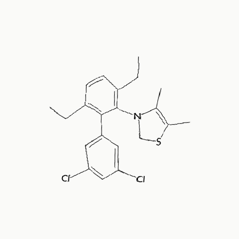 CCc1ccc(CC)c(N2CSC(C)=C2C)c1-c1cc(Cl)cc(Cl)c1